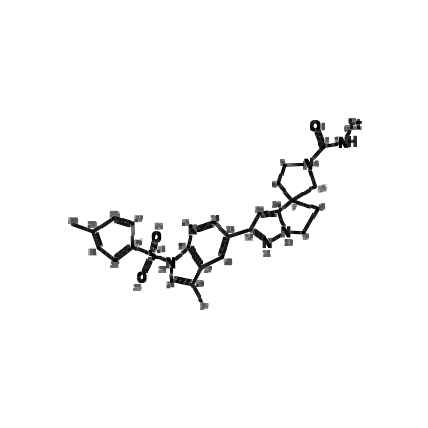 CCNC(=O)N1CCC2(CCn3nc(-c4cnc5c(c4)c(C)cn5S(=O)(=O)c4ccc(C)cc4)cc32)C1